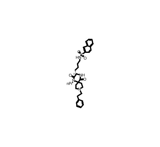 CCCN1C(=O)[C@H](CCCCNS(=O)(=O)c2ccc3ccccc3c2)NC(=O)C12CCN(CCc1ccccc1)CC2